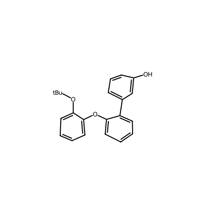 CC(C)(C)Oc1ccccc1Oc1ccccc1-c1cccc(O)c1